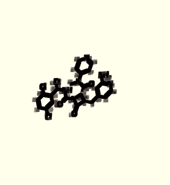 CC[C@@H](NC(=O)N1C(=O)[C@H](Cc2ccnc(N)c2)[C@H]1C(=O)N(C)c1ccncc1)c1cc(Cl)ccc1Cl